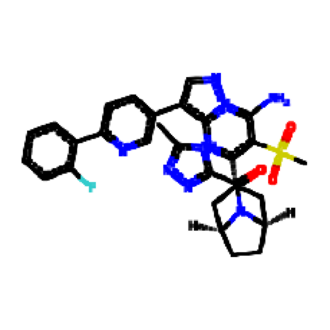 Cc1nnc(C(=O)N2[C@@H]3CC[C@H]2C[C@H](c2nc4c(-c5ccc(-c6ccccc6F)nc5)cnn4c(N)c2S(C)(=O)=O)C3)[nH]1